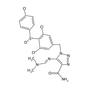 CN(C)/C=N/c1c(C(N)=O)nnn1Cc1cc(Cl)c([S+]([O-])c2ccc(Cl)cc2)c(Cl)c1